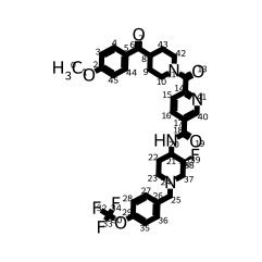 COc1ccc(C(=O)C2CCN(C(=O)c3ccc(C(=O)NC4CCN(Cc5ccc(OC(F)(F)F)cc5)C[C@@H]4F)cn3)CC2)cc1